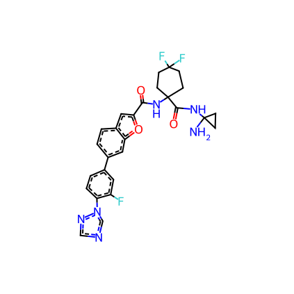 NC1(NC(=O)C2(NC(=O)c3cc4ccc(-c5ccc(-n6cncn6)c(F)c5)cc4o3)CCC(F)(F)CC2)CC1